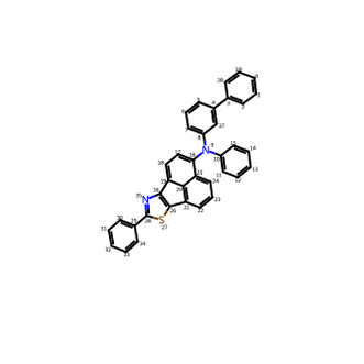 c1ccc(-c2cccc(N(c3ccccc3)c3ccc4c5c(cccc35)-c3sc(-c5ccccc5)nc3-4)c2)cc1